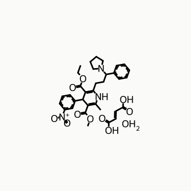 CCOC(=O)C1=C(CCC(c2ccccc2)N2CCCC2)NC(C)=C(C(=O)OC)C1c1cccc([N+](=O)[O-])c1.O.O=C(O)C=CC(=O)O